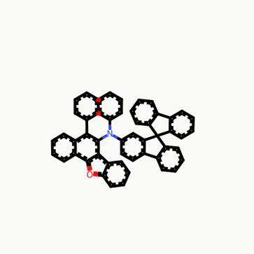 c1ccc(-c2c(N(c3ccccc3)c3ccc4c(c3)C3(c5ccccc5-c5ccccc53)c3ccccc3-4)c3c4ccccc4oc3c3ccccc23)cc1